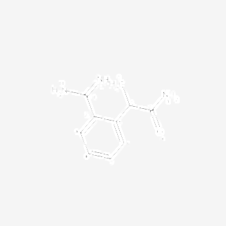 CC(C(N)=O)c1ccccc1C(=N)N